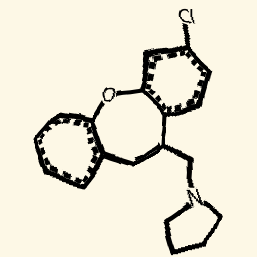 Clc1ccc2c(c1)Oc1ccccc1C=C2CN1CCCC1